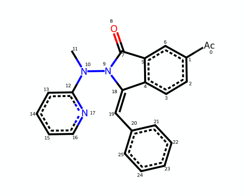 CC(=O)c1ccc2c(c1)C(=O)N(N(C)c1ccccn1)C2=Cc1ccccc1